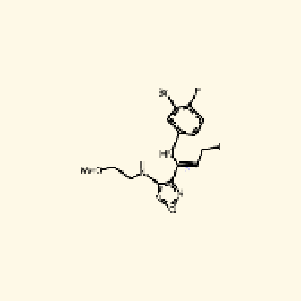 COCCNc1nonc1/C(=C/CI)Nc1ccc(F)c(Br)c1